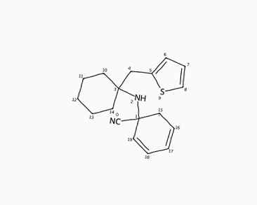 N#CC1(NC2(Cc3cccs3)CCCCC2)[CH]C=CC=C1